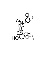 CC(=O)N1N=C(/C=C/C2=C(C)C(O)CCC2(C)C)CC1c1cccc(C)c1